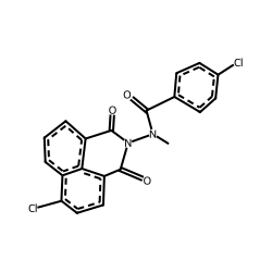 CN(C(=O)c1ccc(Cl)cc1)N1C(=O)c2cccc3c(Cl)ccc(c23)C1=O